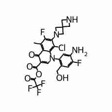 Cc1c(F)c(N2CC3(CNC3)C2)c(Cl)c2c1c(=O)c(C(=O)OC(=O)C(F)(F)F)cn2-c1cc(N)c(F)cc1CO